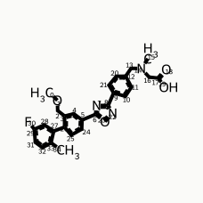 COCc1cc(-c2nc(-c3ccc(CN(C)CC(=O)O)cc3)no2)ccc1-c1cc(F)ccc1C